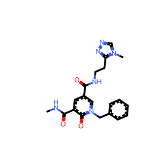 CNC(=O)c1cc(C(=O)NCCc2nncn2C)cn(Cc2ccccc2)c1=O